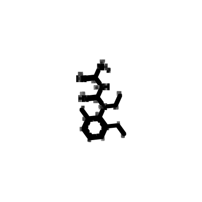 CCc1cccc(C)c1N(CC)C(=N)NC(=N)N